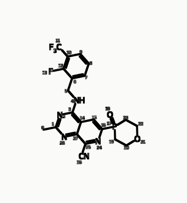 Cc1nc(NCc2cccc(C(F)(F)F)c2F)c2cc(P3(=O)CCOCC3)nc(C#N)c2n1